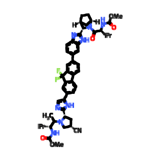 COC(=O)N[C@H](C(C)C)C(C)N1C[C@@H](C#N)C[C@H]1c1ncc(-c2ccc3c(c2)C(F)(F)c2cc(-c4ccc5nc([C@@H]6[C@H]7CC[C@H](C7)N6C(=O)[C@@H](NC(=O)OC)C(C)C)[nH]c5c4)ccc2-3)[nH]1